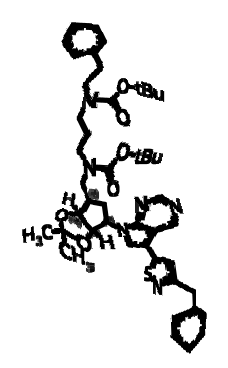 CC(C)(C)OC(=O)N(CCCN(C[C@H]1C[C@@H](n2cc(-c3cc(Cc4ccccc4)ns3)c3cncnc32)[C@@H]2OC(C)(C)O[C@H]12)C(=O)OC(C)(C)C)CCc1ccccc1